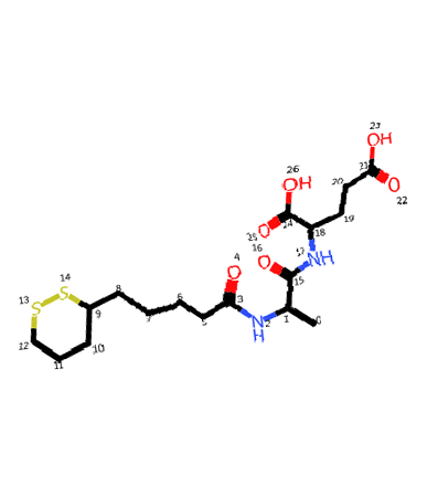 CC(NC(=O)CCCCC1CCCSS1)C(=O)NC(CCC(=O)O)C(=O)O